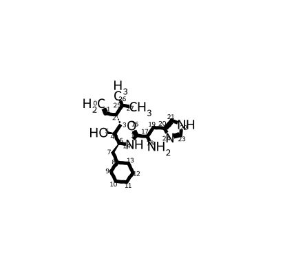 C=C[C@@H](C[C@H](O)[C@H](CC1CCCCC1)NC(=O)C(N)Cc1c[nH]cn1)C(C)C